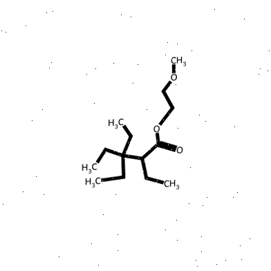 CCC(C(=O)OCCOC)C(CC)(CC)CC